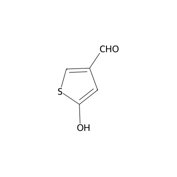 O=Cc1csc(O)c1